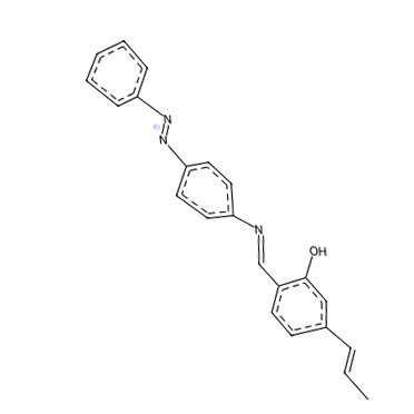 CC=Cc1ccc(C=Nc2ccc(/N=N/c3ccccc3)cc2)c(O)c1